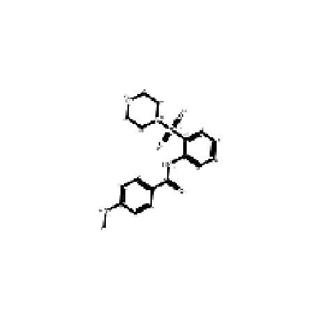 CNc1ccc(C(=O)Nc2ccccc2S(=O)(=O)N2CCOCC2)cc1